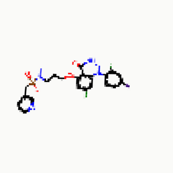 NC(=O)c1c(Nc2ccc(I)cc2F)cc(F)cc1OCCCNS(=O)(=O)Cc1cccnc1